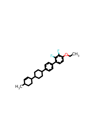 CCOc1ccc(-c2ccc(C3CCC(C4C=CC(C)CC4)CC3)cc2)c(F)c1F